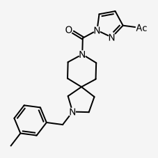 CC(=O)c1ccn(C(=O)N2CCC3(CCN(Cc4cccc(C)c4)C3)CC2)n1